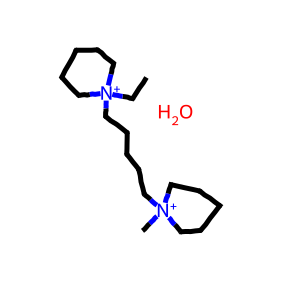 CC[N+]1(CCCCC[N+]2(C)CCCCC2)CCCCC1.O